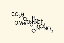 COc1cc(CC(=O)O)ccc1OCC(=O)NCC(O)(c1cn(Cc2ccccc2)c2cc([N+](=O)[O-])ccc12)C(F)(F)F